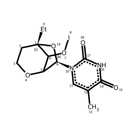 CC[C@]12CCOC(C1OI)[C@H](n1cc(C)c(=O)[nH]c1=O)O2